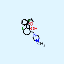 CN1CCN(CC2CCCC/C(=C/c3ccco3)C2(O)Cc2c(F)cccc2F)CC1